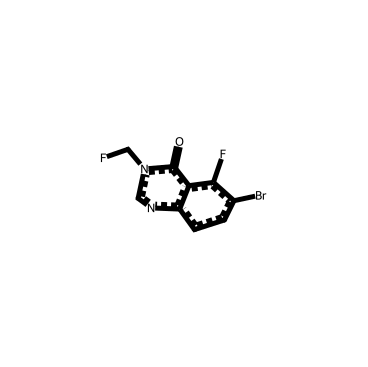 O=c1c2c(F)c(Br)ccc2ncn1CF